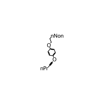 CCCC#COc1ccc(OCCCCCCCCCCC)cc1